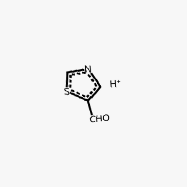 O=Cc1cncs1.[H+]